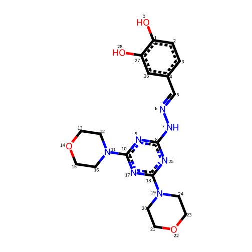 Oc1ccc(C=NNc2nc(N3CCOCC3)nc(N3CCOCC3)n2)cc1O